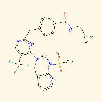 CN(c1ncccc1CNc1nc(Cc2ccc(C(=O)NCC3CC3)cc2)ncc1C(F)(F)F)S(C)(=O)=O